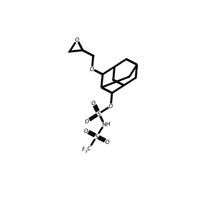 O=S(=O)(NS(=O)(=O)C(F)(F)F)OC1C2CC3CC(C2)C(OCC2CO2)C1C3